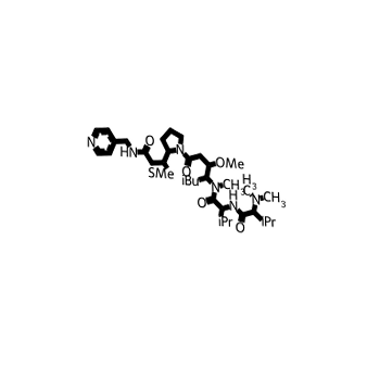 CCC(C)C(C(CC(=O)N1CCCC1C(CC(=O)NCc1ccncc1)SC)OC)N(C)C(=O)C(NC(=O)C(C(C)C)N(C)C)C(C)C